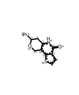 CC(C)C1Cc2[nH]c(=O)c3ccsc3c2CO1